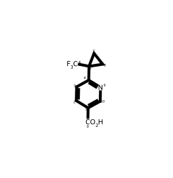 O=C(O)c1ccc(C2(C(F)(F)F)CC2)nc1